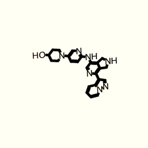 OC1CCN(c2ccc(Nc3cnc(-c4cnn5ccccc45)c4c3CNC4)nc2)CC1